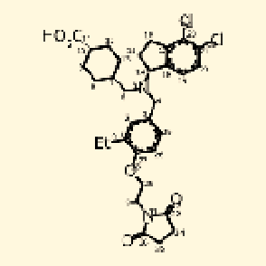 CCc1cc(CN(C[C@H]2CC[C@H](C(=O)O)CC2)[C@H]2CCc3c2ccc(Cl)c3Cl)ccc1OCCN1C(=O)CCC1=O